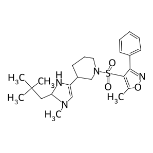 Cc1onc(-c2ccccc2)c1S(=O)(=O)N1CCCC(C2=CN(C)C(CC(C)(C)C)N2)C1